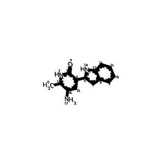 Cc1[nH]c(=O)c(-c2cc3ccccc3[nH]2)cc1N